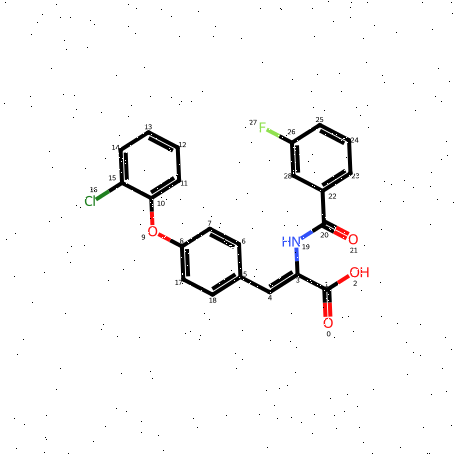 O=C(O)/C(=C/c1ccc(Oc2ccccc2Cl)cc1)NC(=O)c1cccc(F)c1